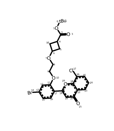 CC(C)(C)OC(=O)C1CC(OCCOc2cc(Br)ccc2-c2cc(=O)c3cccc(Cl)c3o2)C1